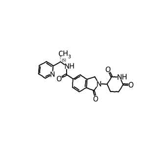 C[C@H](NC(=O)c1ccc2c(c1)CN(C1CCC(=O)NC1=O)C2=O)c1ccccn1